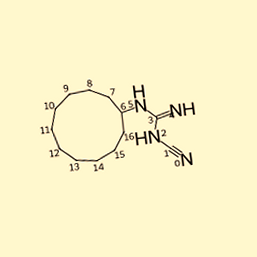 N#CNC(=N)NC1CCCCCCCCCC1